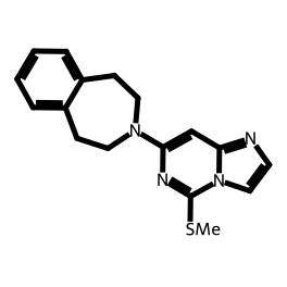 CSc1nc(N2CCc3ccccc3CC2)cc2nccn12